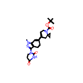 Cn1nc(N2CCC(=O)NC2=O)c2ccc(C3=CCN(C(=O)OC(C)(C)C)C4(CC4)C3)cc21